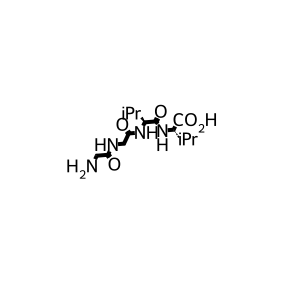 CC(C)[C@H](NC(=O)[C@@H](NC(=O)CNC(=O)CN)C(C)C)C(=O)O